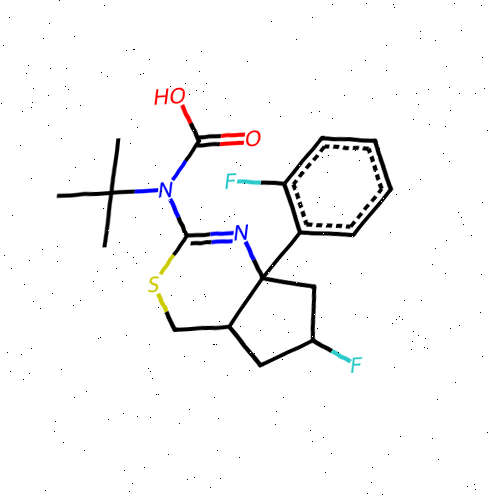 CC(C)(C)N(C(=O)O)C1=NC2(c3ccccc3F)CC(F)CC2CS1